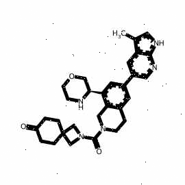 Cc1c[nH]c2ncc(-c3cc4c(c([C@@H]5COCCN5)c3)CN(C(=O)N3CC5(CCC(=O)CC5)C3)CC4)cc12